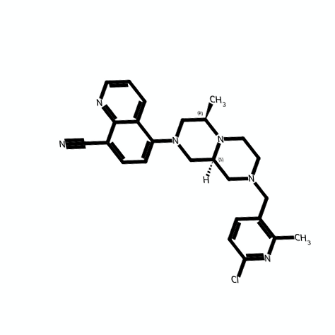 Cc1nc(Cl)ccc1CN1CCN2[C@@H](C1)CN(c1ccc(C#N)c3ncccc13)C[C@H]2C